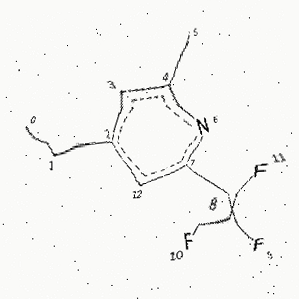 CCc1cc(C)nc(C(F)(F)F)c1